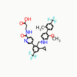 COc1cc(NCc2c(-c3ccc(C(=O)NCCC(=O)O)nc3)cc(C(F)(F)F)cc2C2CC2)ccc1-c1ccc(C(F)(F)F)cc1C